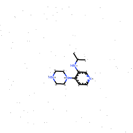 CC(C)Nc1cnccc1N1CCNCC1